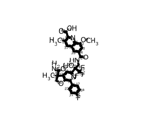 COc1cc(C(=O)NCC(O)(c2cc3c(c(-c4ccc(F)cc4)n2)OC[C@]3(C)C(N)=O)C(F)(F)F)cc2cc(C)c(C(=O)O)nc12